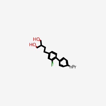 CCCc1ccc(-c2ccc(CCC(CO)CO)cc2F)cc1